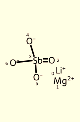 [Li+].[Mg+2].[O]=[Sb]([O-])([O-])[O-]